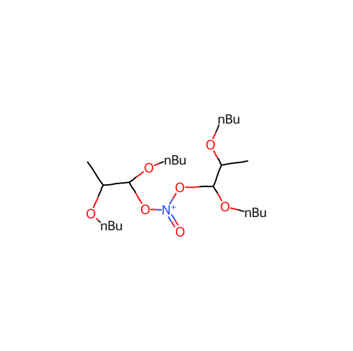 CCCCOC(C)C(OCCCC)O[N+](=O)OC(OCCCC)C(C)OCCCC